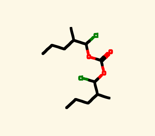 CCCC(C)C(Cl)OC(=O)OC(Cl)C(C)CCC